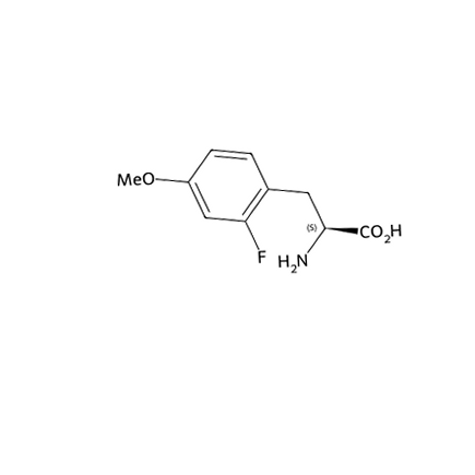 COc1ccc(C[C@H](N)C(=O)O)c(F)c1